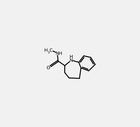 CNC(=O)C1CCCc2ccccc2N1